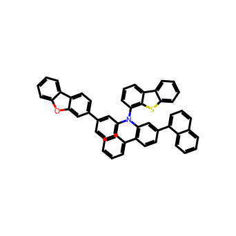 c1ccc(-c2ccc(-c3cccc4ccccc34)cc2N(c2cccc(-c3ccc4c(c3)oc3ccccc34)c2)c2cccc3c2sc2ccccc23)cc1